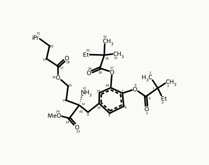 CCC(C)(C)C(=O)Oc1ccc(C[C@](N)(CCOC(=O)CCC(C)C)C(=O)OC)cc1OC(=O)C(C)(C)CC